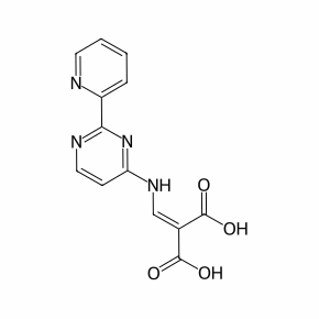 O=C(O)C(=CNc1ccnc(-c2ccccn2)n1)C(=O)O